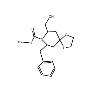 CC(C)(C)OC(=O)N1C(CO)CC2(CC1Cc1ccccc1)OCCO2